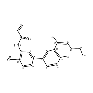 C=CC(=O)Nc1cc(-c2cnc(C)c(/C(C)=C\CCC)c2)ccc1Cl